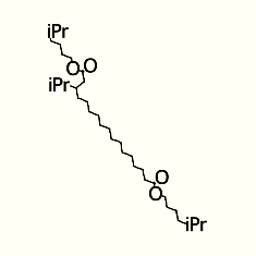 CC(C)CCCCOC(=O)CCCCCCCCCCCCCC(CC(=O)OCCCCC(C)C)C(C)C